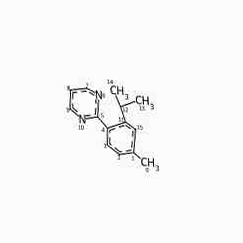 Cc1ccc(-c2ncccn2)c(C(C)C)c1